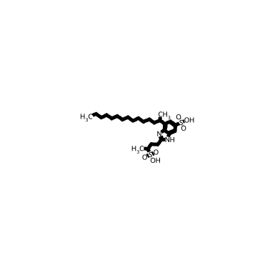 CCCCCCCCCCCCCC(C)c1cc(S(=O)(=O)O)cc2[nH]c(CCC(C)S(=O)(=O)O)nc12